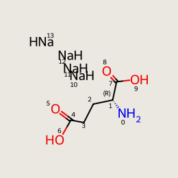 N[C@H](CCC(=O)O)C(=O)O.[NaH].[NaH].[NaH].[NaH]